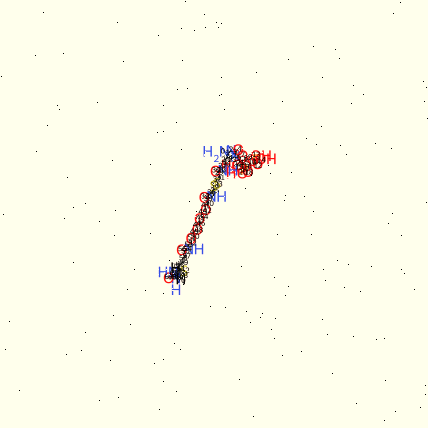 Nc1nc(=O)n([C@@H]2O[C@H](COP(=O)(O)O)[C@H](OP(=O)(O)O)[C@@H]2O)cc1CCCNC(=O)CCSSCCNC(=O)CCOCCOCCOCCOCCNC(=O)CCCC[C@@H]1SC[C@@H]2NC(=O)N[C@@H]21